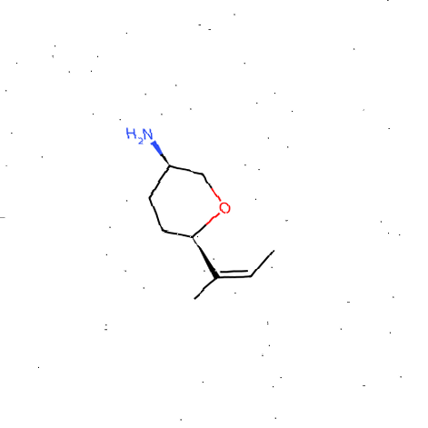 C/C=C(/C)[C@H]1CC[C@@H](N)CO1